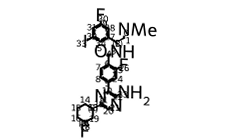 CNC[C@@H](NC(=O)c1ccc(-c2nc([C@@H]3CCC[C@H](F)C3)cnc2N)cc1F)c1cc(F)cc(I)c1